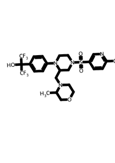 CC1COCCN1CC1CN(S(=O)(=O)c2ccc(Cl)nc2)CCN1c1ccc(C(O)(C(F)(F)F)C(F)(F)F)cc1